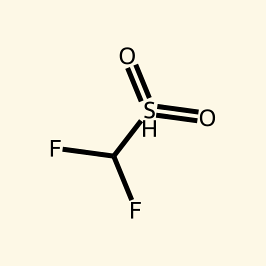 O=[SH](=O)C(F)F